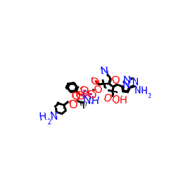 C[C@H](NP(=O)(OCOC(=O)C(C)(C)C1C(C#N)OC(c2ccc3c(N)ncnn23)C1C(C)(C)C(=O)O)Oc1ccccc1)C(=O)OCC1CCC(N)CC1